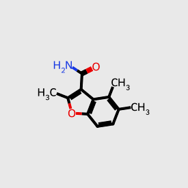 Cc1ccc2oc(C)c(C(N)=O)c2c1C